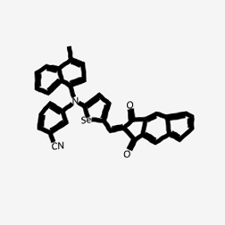 Cc1ccc(N(c2cccc(C#N)c2)c2ccc(C=C3C(=O)c4cc5ccccc5cc4C3=O)[se]2)c2ccccc12